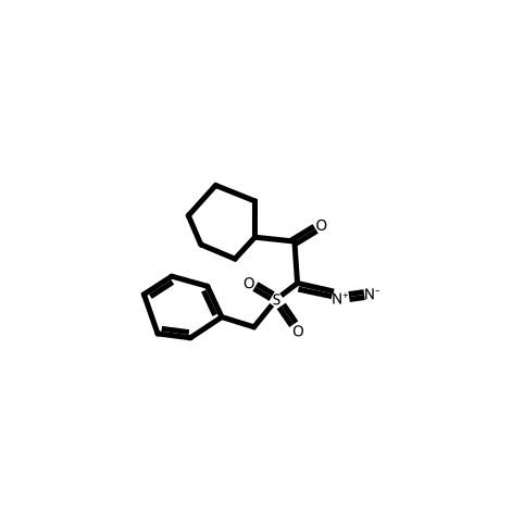 [N-]=[N+]=C(C(=O)C1CCCCC1)S(=O)(=O)Cc1ccccc1